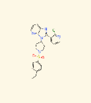 CCc1ccc(S(=O)(=O)N2CCC(n3c(-c4cccnc4Cl)nc4cccnc43)CC2)cc1